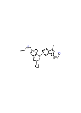 C=C/C=C\c1cc2cc(Cl)cc(-c3ccc4c(C)c(/C=C\C(C)C)oc4c3)c2o1